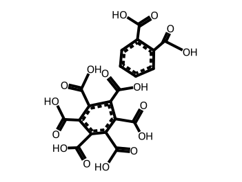 O=C(O)c1c(C(=O)O)c(C(=O)O)c(C(=O)O)c(C(=O)O)c1C(=O)O.O=C(O)c1ccccc1C(=O)O